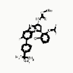 CC(C)(C)OC(=O)N[C@@H]1C[C@H](c2c(Cl)cccc2OC(F)F)n2c1nc1cc(F)c(-c3ccc(C(C)(C)N)cc3)cc12